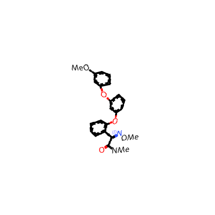 CNC(=O)/C(=N\OC)c1ccccc1Oc1cccc(Oc2cccc(OC)c2)c1